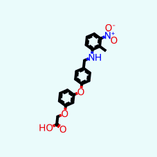 Cc1c(NCc2ccc(Oc3cccc(OCC(=O)O)c3)cc2)cccc1[N+](=O)[O-]